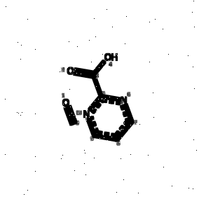 C=O.O=C(O)c1ncccn1